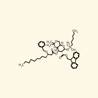 CCCCCCCCC[C@H](CC(=O)O[C@H]1[C@@H]2OC(C)(C)OC[C@H]2O[C@@H](O[Si](C)(C)CCCCCC)[C@@H]1C(=O)OCC1c2ccccc2-c2ccccc21)OCc1ccccc1